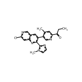 CCC(=O)c1cc(C)c(-c2cc3cnc(Cl)cc3nc2-c2nccn2C)cn1